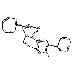 Clc1nc2ccn3c(-c4ncccn4)nnc3c2cc1-c1ccccc1